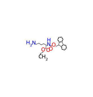 C=CCOC(=O)C(CCCCN)NC(=O)OCC1c2ccccc2-c2ccccc21